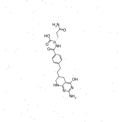 NC(=O)CC[C@H](NC(=O)c1ccc(CCC2CNc3nc(N)nc(O)c3C2)cc1)C(=O)O